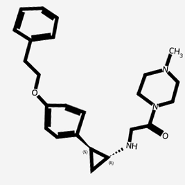 CN1CCN(C(=O)CN[C@@H]2C[C@H]2c2ccc(OCCc3ccccc3)cc2)CC1